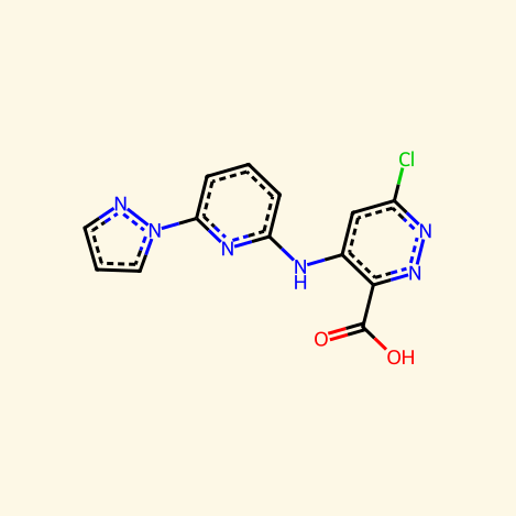 O=C(O)c1nnc(Cl)cc1Nc1cccc(-n2cccn2)n1